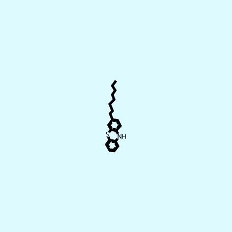 CCCCCCCCc1ccc2c(c1)Sc1ccccc1N2